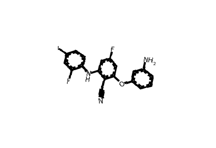 N#Cc1c(Nc2ccc(I)cc2F)cc(F)cc1Oc1cccc(N)c1